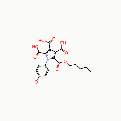 CCCCCOC(=O)c1c(C(=O)O)c(C(=O)O)c(C(=O)O)n1-c1ccc(OC)cc1